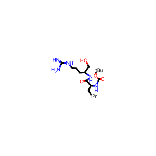 CC(C)CC(NC(=O)OC(C)(C)C)C(=O)NC(CO)CCCNC(=N)N